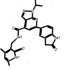 Cc1cc(C)c(CNC(=O)c2cc(-c3ccc4c(c3)CC(=O)N4)nc3c2cnn3C(C)C)c(=O)[nH]1